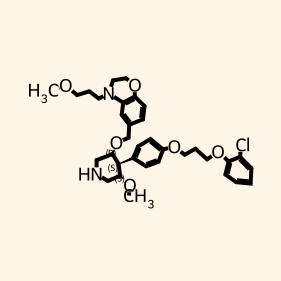 COCCCN1CCOc2ccc(CO[C@H]3CNC[C@@H](OC)[C@@H]3c3ccc(OCCCOc4ccccc4Cl)cc3)cc21